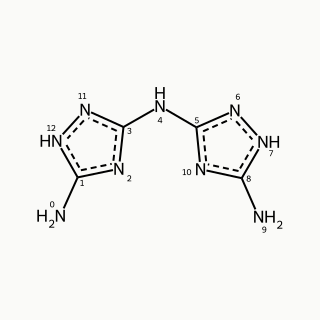 Nc1nc(Nc2n[nH]c(N)n2)n[nH]1